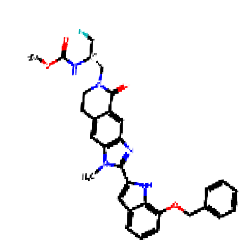 Cn1c(-c2cc3cccc(OCc4ccccc4)c3[nH]2)nc2cc3c(cc21)CCN(C[C@@H](CF)NC(=O)OC(C)(C)C)C3=O